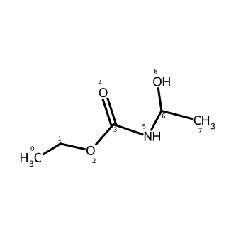 CCOC(=O)NC(C)O